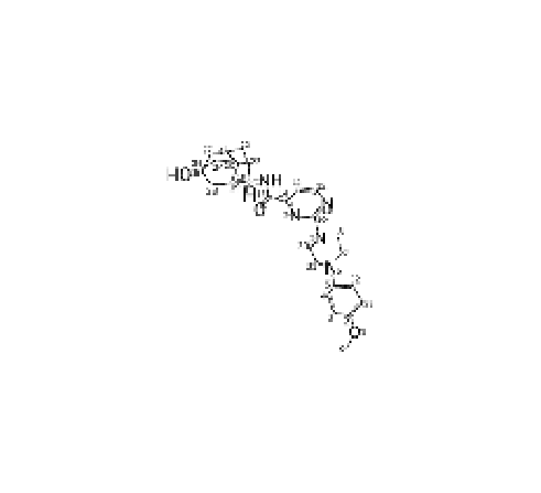 COc1ccc(N2CCN(c3nccc(C(=O)N[C@H]4C5CC6CC4C[C@](O)(C6)C5)n3)CC2)cc1